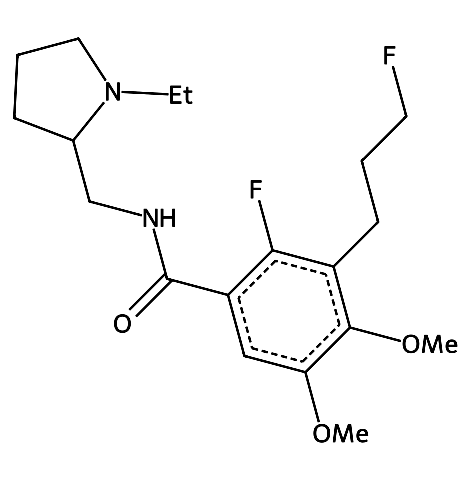 CCN1CCCC1CNC(=O)c1cc(OC)c(OC)c(CCCF)c1F